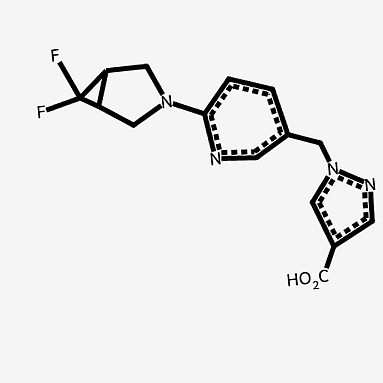 O=C(O)c1cnn(Cc2ccc(N3CC4C(C3)C4(F)F)nc2)c1